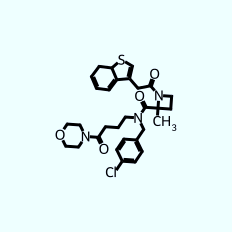 CC1(C(=O)N(CCCC(=O)N2CCOCC2)Cc2ccc(Cl)cc2)CCN1C(=O)CC1=CSC2CC=CC=C12